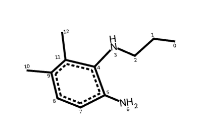 CCCNc1c(N)ccc(C)c1C